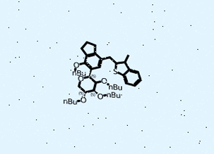 CCCCOc1c([C@@H]2OC[C@@H](OCCCC)[C@H](OCCCC)C2OCCCC)cc(CC2Sc3ccccc3C2C)c2c1CCC2